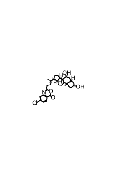 C[C@H](CCc1nc2cc(Cl)ccc2c(=O)o1)[C@H]1CC[C@H]2[C@H]3C(CC[C@]12C)[C@@]1(C)CC[C@@H](O)C[C@H]1C[C@H]3O